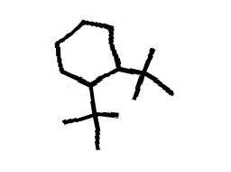 CC(C)(C)[C]1CCCCC1C(C)(C)C